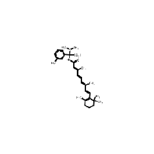 CC1=C(/C=C/C(C)=C/C=C/C(C)=C/C(=O)NC(C(=O)O)(c2cccc(O)c2)N(C)C)C(C)(C)CCC1